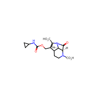 O=C(NC1CC1)OCC1=C(C(=O)O)N2C(=O)[C@@H]3[C@H]2C1CCN3C(=O)O